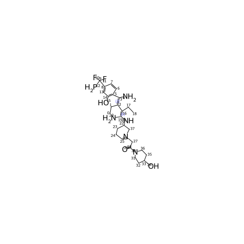 CCC(=C(/N)c1ccc(C(F)(F)P)cc1O)/C(CC)=C(\N)NC1CCCN(CC(=O)N2CCC(O)CC2)C1